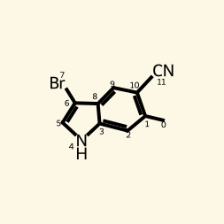 Cc1cc2[nH]cc(Br)c2cc1C#N